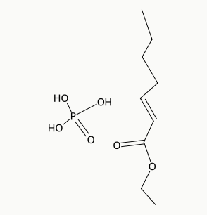 CCCCC=CC(=O)OCC.O=P(O)(O)O